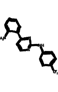 Nc1ccccc1-c1ccnc(Nc2ccc(C(F)(F)F)cc2)n1